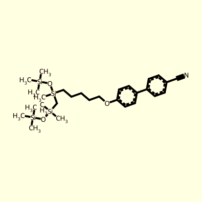 C[Si](C)(C)O[Si](C)(C)C[Si](C)(CCCCCOc1ccc(-c2ccc(C#N)cc2)cc1)O[Si](C)(C)C